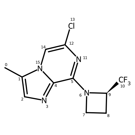 Cc1cnc2c(N3CC[C@@H]3C(F)(F)F)nc(Cl)cn12